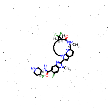 C[C@H]1NC(=O)[C@@H]2[C@@H](CCCCCn3c(-c4nc5cc(C(=O)N[C@H]6CNCC[C@@H]6F)c(F)cc5n4C)cc4ccc1nc43)C2(F)F